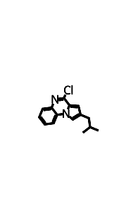 CC(C)Cc1cc2c(Cl)nc3ccccc3n2c1